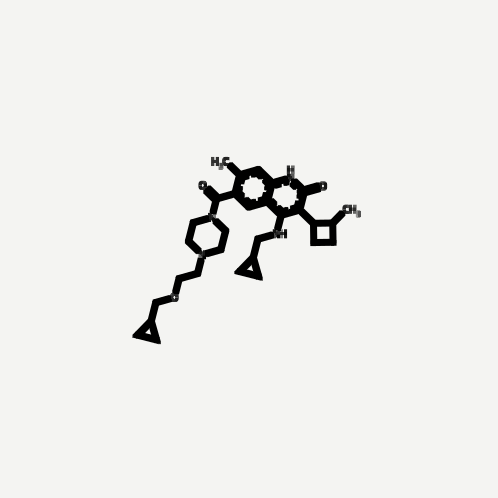 Cc1cc2[nH]c(=O)c(C3CCC3C)c(NCC3CC3)c2cc1C(=O)N1CCN(CCOCC2CC2)CC1